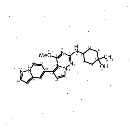 COc1nc(NC2CCC(C)(O)CC2)nn2ccc(-c3ccn4nccc4c3)c12